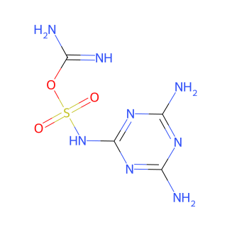 N=C(N)OS(=O)(=O)Nc1nc(N)nc(N)n1